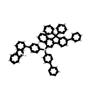 c1ccc(-c2ccc(N(c3ccc(-c4cccc5c4sc4ccccc45)cc3)c3cc4c(c5ccccc35)C(c3ccccc3)(c3ccccc3)c3cc(-c5ccccc5)ccc3-4)cc2)cc1